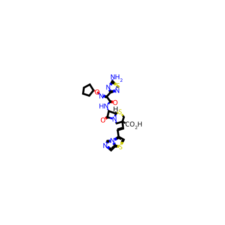 Nc1nc(C(=NOC2CCCC2)C(=O)N[C@@H]2C(=O)N3CC(C=Cc4csc5cncn45)(C(=O)O)CS[C@H]23)ns1